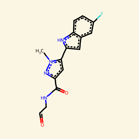 Cn1nc(C(=O)NCC=O)cc1-c1cc2cc(F)ccc2[nH]1